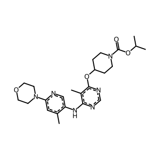 Cc1cc(N2CCOCC2)ncc1Nc1ncnc(OC2CCN(C(=O)OC(C)C)CC2)c1C